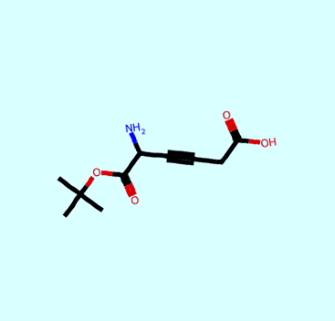 CC(C)(C)OC(=O)C(N)C#CCC(=O)O